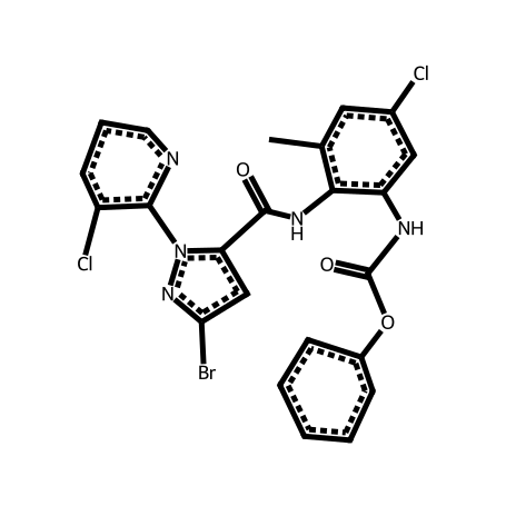 Cc1cc(Cl)cc(NC(=O)Oc2ccccc2)c1NC(=O)c1cc(Br)nn1-c1ncccc1Cl